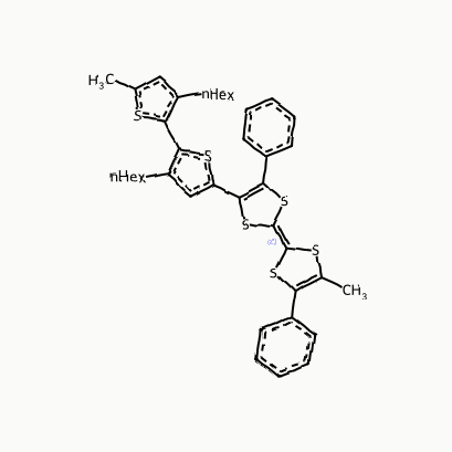 CCCCCCc1cc(C)sc1-c1sc(C2=C(c3ccccc3)S/C(=C3\SC(C)=C(c4ccccc4)S3)S2)cc1CCCCCC